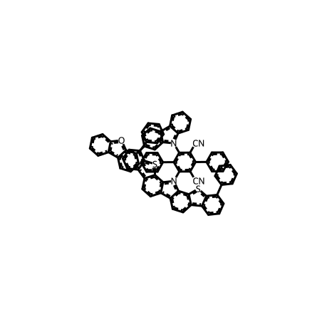 N#Cc1c(-c2ccccc2)c(C#N)c(-n2c3c(ccc4c5cccc(-c6ccccc6)c5sc43)c3ccc4c5cccc(-c6ccccc6)c5sc4c32)c(-c2ccccc2)c1-n1c2ccccc2c2ccc(-c3cccc4c3oc3ccccc34)cc21